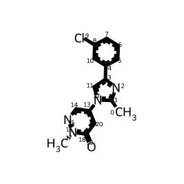 Cc1nc(-c2cccc(Cl)c2)cn1-c1cnn(C)c(=O)c1